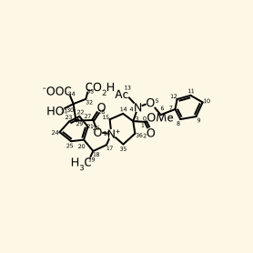 COC(=O)C1(N(OCc2ccccc2)C(C)=O)CC[N+](CC(C)c2ccccc2)(OC(=O)CC(O)(CC(=O)O)C(=O)[O-])CC1